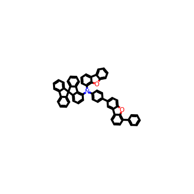 c1ccc(-c2cccc3c2oc2ccc(-c4ccc(N(c5cccc6c5-c5ccccc5C65c6ccccc6-c6ccccc65)c5cccc6c5oc5ccccc56)cc4)cc23)cc1